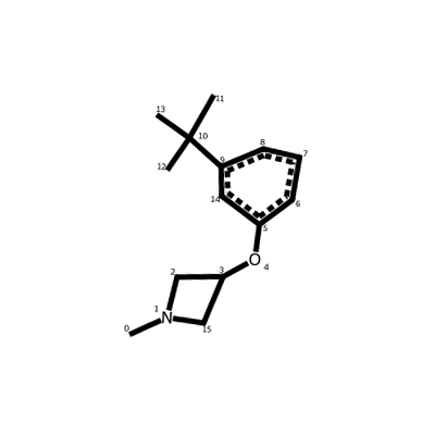 CN1CC(Oc2cccc(C(C)(C)C)c2)C1